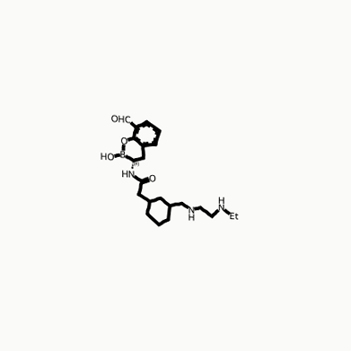 CCNCCNCC1CCCC(CC(=O)N[C@H]2Cc3cccc(C=O)c3OB2O)C1